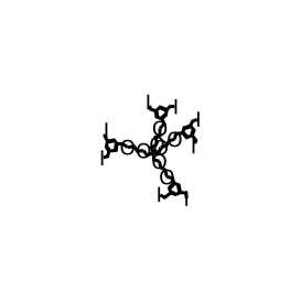 ICc1cc(CI)cc(COCCOCC(COCCOCc2cc(CI)cc(CI)c2)(COCCOCc2cc(CI)cc(CI)c2)COCCOCc2cc(CI)cc(CI)c2)c1